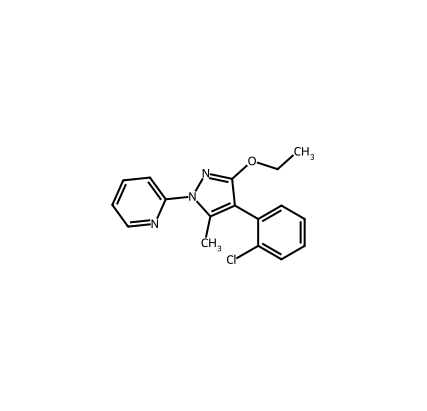 CCOc1nn(-c2ccccn2)c(C)c1-c1ccccc1Cl